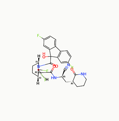 N#C[C@@H](C[C@H]1CCCNC1=O)NC(=O)[C@H]1[C@@H]2CC[C@@H](CC2(F)F)N1C(=O)C1(O)c2cc(F)ccc2-c2ccc(F)cc21